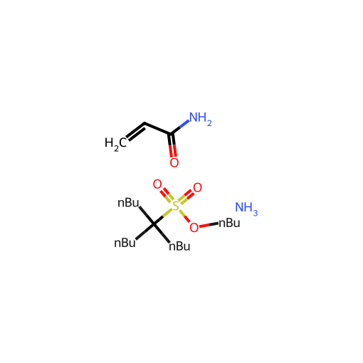 C=CC(N)=O.CCCCOS(=O)(=O)C(CCCC)(CCCC)CCCC.N